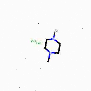 CC(=O)N1CCN(C)CC1.Cl.Cl